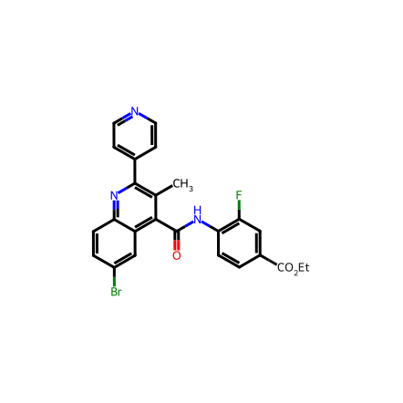 CCOC(=O)c1ccc(NC(=O)c2c(C)c(-c3ccncc3)nc3ccc(Br)cc23)c(F)c1